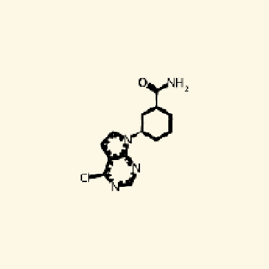 NC(=O)[C@H]1CCC[C@@H](n2ccc3c(Cl)ncnc32)C1